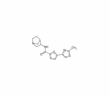 Cc1nc(-c2ccc(C(=O)NC3CN4CCC3C4)s2)cs1